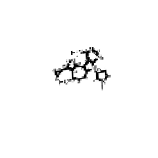 Nc1ncnc2c1c1c(n2C2CCNC2)CC[C@H](O)c2c-1noc2C1CC1